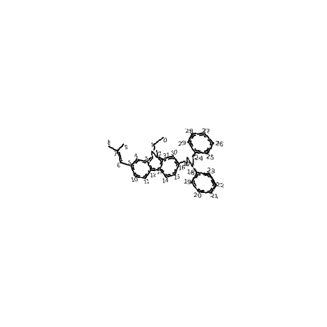 CCn1c2cc(C=C(C)C)ccc2c2ccc(N(c3ccccc3)c3ccccc3)cc21